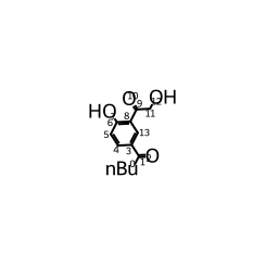 CCCCC(=O)c1ccc(O)c(C(=O)CO)c1